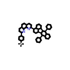 C[Si](C)(C)c1ccc(-c2ccc3ccc4ccc(-c5ccc6c7c(cccc57)-c5c-6c(-c6ccccc6)c6ccccc6c5-c5ccccc5)nc4c3n2)cc1